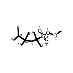 COOS(=O)(=O)C(C)(C)CC(C)(C)C(C)C